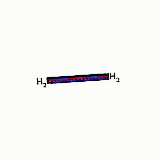 N/N=N/N=N/N=N/N=N/N=N/N=N/N=N/N=N/N=N/N=N/N=N/N=N/N=N/N=N/N=N/N=N/N=N/N=N/N=N/N=N/N=N/N=N/N=N/N=N/N=N/N=N/N=N/N=N/N=N/N=N/N=N/N=N/N=N/N=N/N=N/N=N/N=N/N=N/N=N/N=N/N=N/N